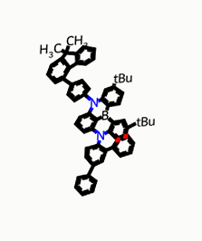 CC(C)(C)c1ccc2c(c1)B1c3ccc(C(C)(C)C)cc3N(c3ccc(-c4cccc5c4-c4ccccc4C5(C)C)cc3)c3cccc(c31)N2c1ccc(-c2ccccc2)cc1-c1ccccc1